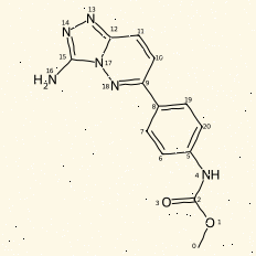 COC(=O)Nc1ccc(-c2ccc3nnc(N)n3n2)cc1